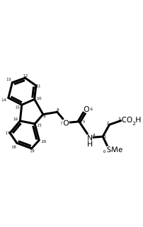 CSC(CC(=O)O)NC(=O)OCC1c2ccccc2-c2ccccc21